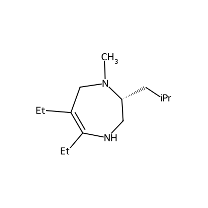 CCC1=C(CC)NC[C@@H](CC(C)C)N(C)C1